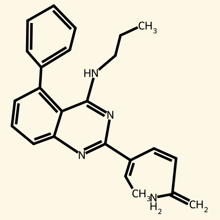 C=C(N)/C=C\C(=C/C)c1nc(NCCC)c2c(-c3ccccc3)cccc2n1